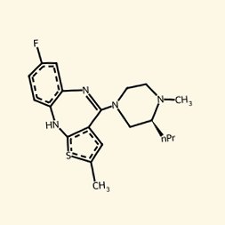 CCC[C@H]1CN(C2=Nc3cc(F)ccc3Nc3sc(C)cc32)CCN1C